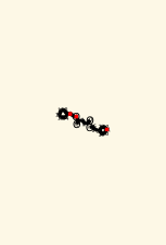 O=C(/C=C/C(=O)OC=Cc1ccccc1)OC=Cc1ccccc1